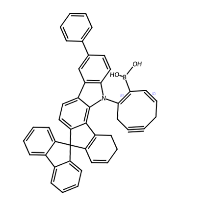 OB(O)C1=C(\n2c3ccc(-c4ccccc4)cc3c3ccc4c(c32)C2=C(C=CCC2)C42c3ccccc3-c3ccccc32)CC#CC/C=C\1